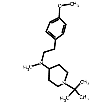 COc1ccc(CCN(C)C2CCN(C(C)(C)C)CC2)cc1